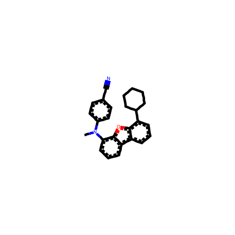 CN(c1ccc(C#N)cc1)c1cccc2c1oc1c(C3CCCCC3)cccc12